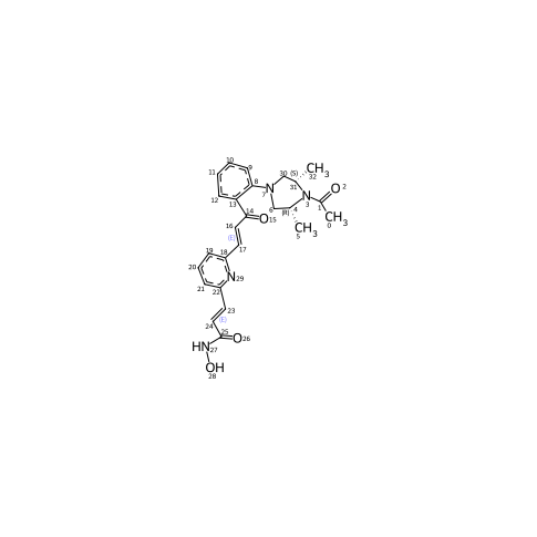 CC(=O)N1[C@H](C)CN(c2ccccc2C(=O)/C=C/c2cccc(/C=C/C(=O)NO)n2)C[C@@H]1C